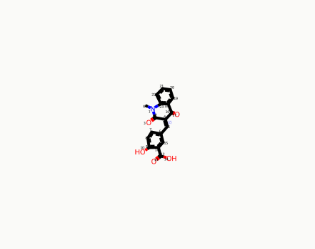 CN1C(=O)/C(=C\c2ccc(O)c(C(=O)O)c2)C(=O)c2ccccc21